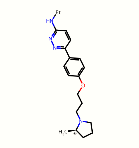 CCNc1ccc(-c2ccc(OCCCN3CCC[C@H]3C)cc2)nn1